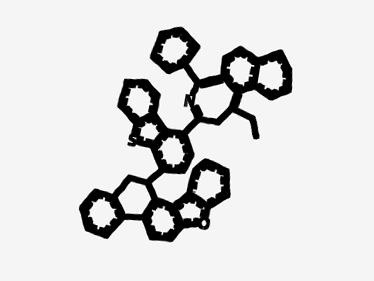 CCC1=c2c(ccc3ccccc23)=C(c2ccccc2)N=C(c2ccc(C3Cc4ccccc4-c4ccc5oc6ccccc6c5c43)c3sc4ccccc4c23)C1